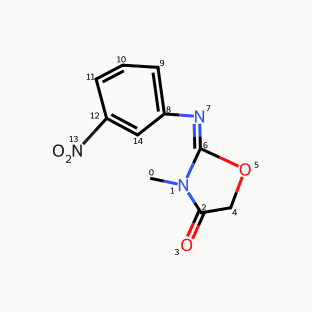 CN1C(=O)COC1=Nc1cccc([N+](=O)[O-])c1